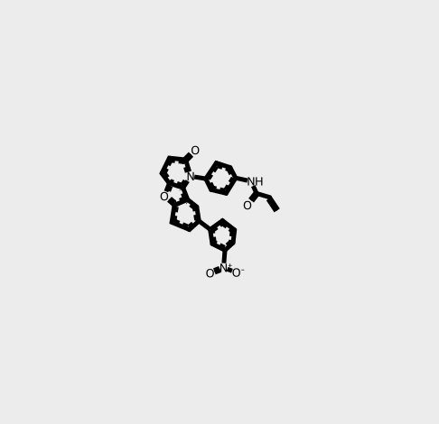 C=CC(=O)Nc1ccc(-n2c(=O)ccc3oc4ccc(-c5cccc([N+](=O)[O-])c5)cc4c32)cc1